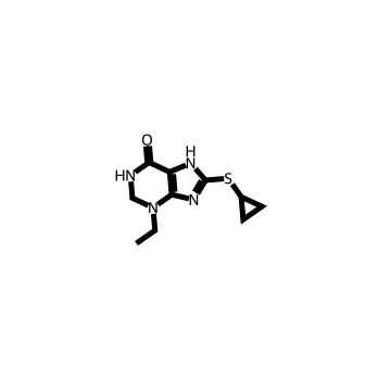 CCN1CNC(=O)c2[nH]c(SC3CC3)nc21